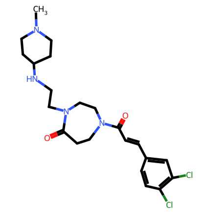 CN1CCC(NCCN2CCN(C(=O)C=Cc3ccc(Cl)c(Cl)c3)CCC2=O)CC1